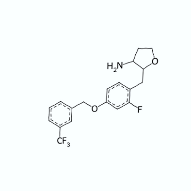 NC1CCOC1Cc1ccc(OCc2cccc(C(F)(F)F)c2)cc1F